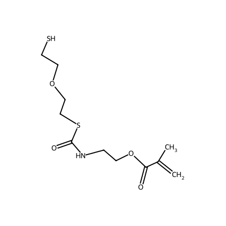 C=C(C)C(=O)OCCNC(=O)SCCOCCS